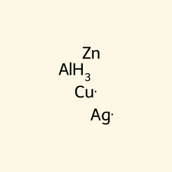 [Ag].[AlH3].[Cu].[Zn]